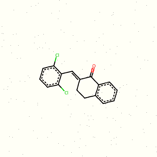 O=C1C(=Cc2c(Cl)cccc2Cl)CCc2ccccc21